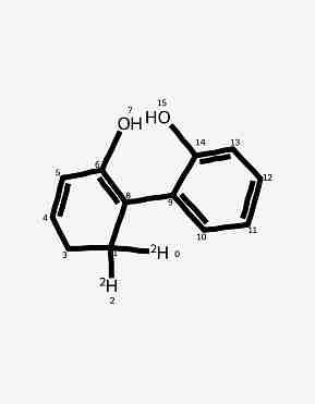 [2H]C1([2H])CC=CC(O)=C1c1ccccc1O